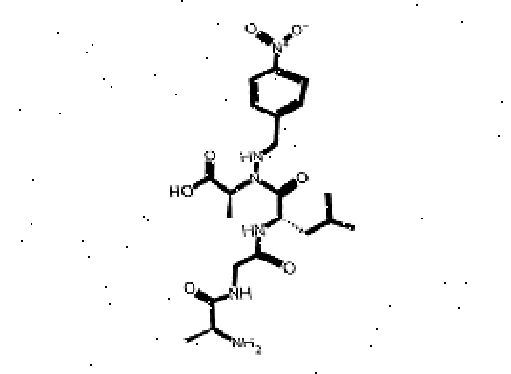 CC(C)C[C@H](NC(=O)CNC(=O)[C@H](C)N)C(=O)N(NCc1ccc([N+](=O)[O-])cc1)[C@@H](C)C(=O)O